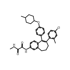 CNC(=O)C(=O)Nc1ccc2c(c1)CCCC(c1ccc(Cl)cc1C)=C2c1ccc(OC2CCC(C)CC2)cc1